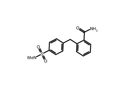 CNS(=O)(=O)c1ccc(Cc2ccccc2C(N)=O)cc1